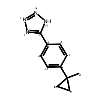 CC1(c2ccc(-c3nnn[nH]3)cc2)CC1